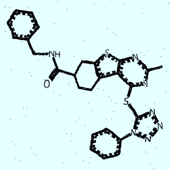 Cc1nc(Sc2nnnn2-c2ccccc2)c2c3c(sc2n1)CC(C(=O)NCc1ccccc1)CC3